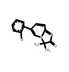 CC1(C)C(=O)N=C2C=CC(c3ccccc3Cl)=CN21